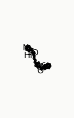 O=C(NCCCCC1CCN(C(=O)c2cc3ccccc3s2)CC1)c1cc2ccncc2s1